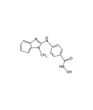 Cn1c(Nc2ccc(C(=O)NO)cc2)nc2ccccc21